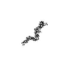 CC1(C)[C@H](NC(=O)c2ccc(N3CCC(CN4CCN(c5ccc6c(c5)CN([C@H]5CCC(=O)NC5=O)C6=O)CC4)CC3)nc2)C(C)(C)[C@H]1Oc1ccc(C#N)c2ncccc12